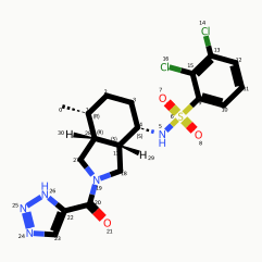 C[C@@H]1CC[C@H](NS(=O)(=O)c2cccc(Cl)c2Cl)[C@@H]2CN(C(=O)c3cnn[nH]3)C[C@@H]21